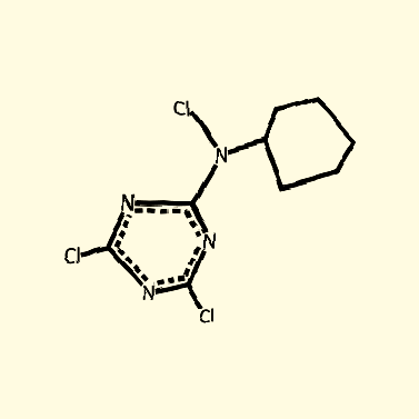 Clc1nc(Cl)nc(N(Cl)C2CCCCC2)n1